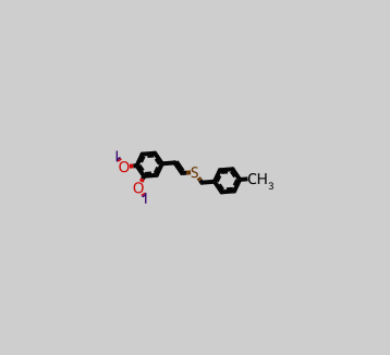 Cc1ccc(CS/C=C/c2ccc(OI)c(OI)c2)cc1